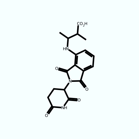 CC(Nc1cccc2c1C(=O)N(C1CCC(=O)NC1=O)C2=O)C(C)C(=O)O